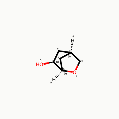 O[C@H]1C[C@H]2CO[C@@H]1C2